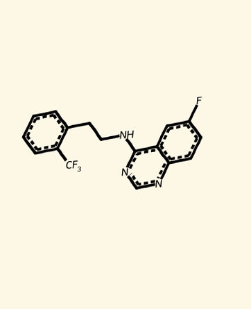 Fc1ccc2ncnc(NCCc3ccccc3C(F)(F)F)c2c1